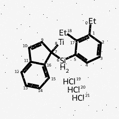 CCc1cccc([SiH2][C]2([Ti])C=Cc3ccccc32)c1CC.Cl.Cl.Cl